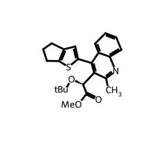 COC(=O)[C@@H](OC(C)(C)C)c1c(C)nc2ccccc2c1-c1cc2c(s1)CCC2